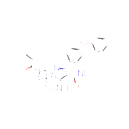 C=CC(=O)N1CC2(CCNc3c(C(N)=O)c(-c4ccc(Oc5ccccc5)cc4)nn32)C1